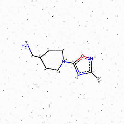 CC(C)c1noc(N2CCC(CN)CC2)n1